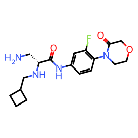 NC[C@@H](NCC1CCC1)C(=O)Nc1ccc(N2CCOCC2=O)c(F)c1